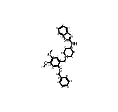 COc1cc(CN2CCC(Nc3nc4ccccc4s3)CC2)c(OCc2ccccc2)cc1OC